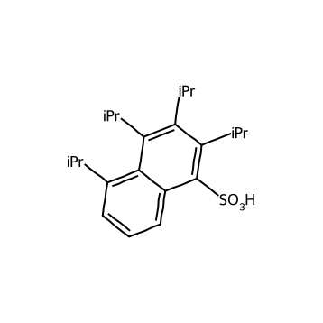 CC(C)c1c(C(C)C)c(C(C)C)c2c(C(C)C)cccc2c1S(=O)(=O)O